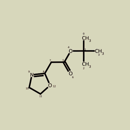 CC(C)(C)OC(=O)CC1=NCCO1